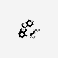 CC(C)CN(Cc1c(F)cccc1C(F)(F)F)C1CCNCC1.O=C(O)C=CC(=O)O